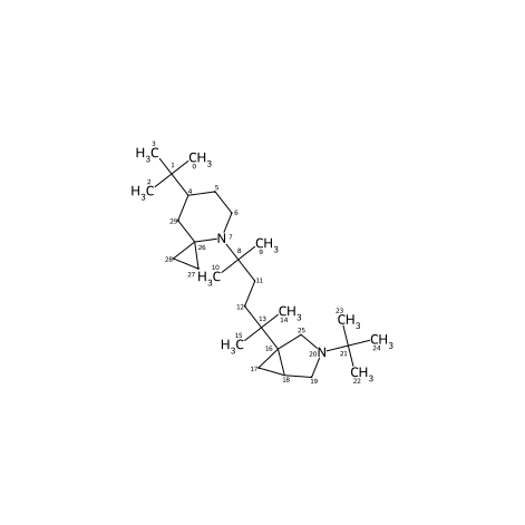 CC(C)(C)C1CCN(C(C)(C)CCC(C)(C)C23CC2CN(C(C)(C)C)C3)C2(CC2)C1